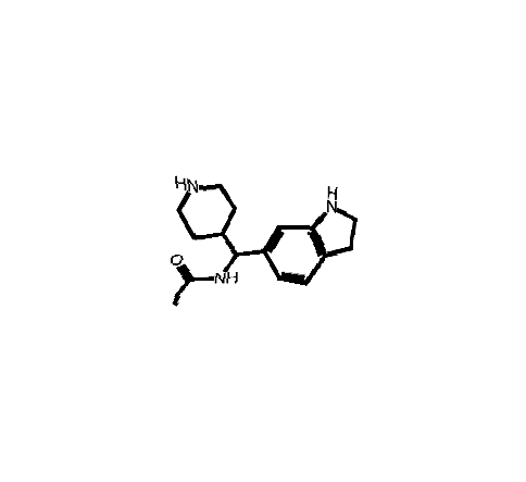 CC(=O)NC(c1ccc2c(c1)NCC2)C1CCNCC1